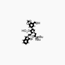 CCCCN(CCCC)C(=O)CN1C[C@H](c2cc(CO)c3c(c2)OCO3)[C@@H](C(=O)O)[C@@H]1CCN1Cc2ccccc2C1=O